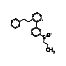 CCC[S+]([O-])c1cccc(-c2[c]cccc2CCc2ccccc2)c1